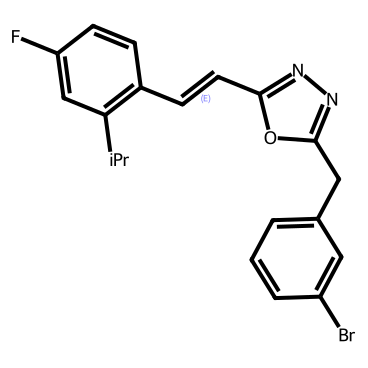 CC(C)c1cc(F)ccc1/C=C/c1nnc(Cc2cccc(Br)c2)o1